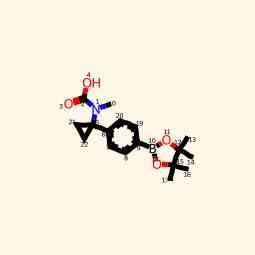 CN(C(=O)O)C1(c2ccc(B3OC(C)(C)C(C)(C)O3)cc2)CC1